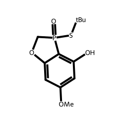 COc1cc(O)c2c(c1)OCP2(=O)SC(C)(C)C